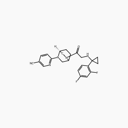 N#Cc1ccc(N2CC3CC[C@H]2CN3C(=O)CNC2(c3ccc(F)cc3F)CC2)nc1